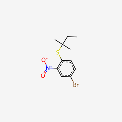 CCC(C)(C)Sc1ccc(Br)cc1[N+](=O)[O-]